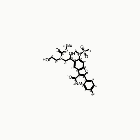 CNC(=O)c1c(-c2ccc(F)cc2)oc2cc(N(C)S(C)(=O)=O)c(C(O)CN(CCO)C(=O)OC(C)(C)C)cc12